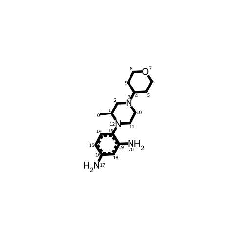 C[C@H]1CN(C2CCOCC2)CCN1c1ccc(N)cc1N